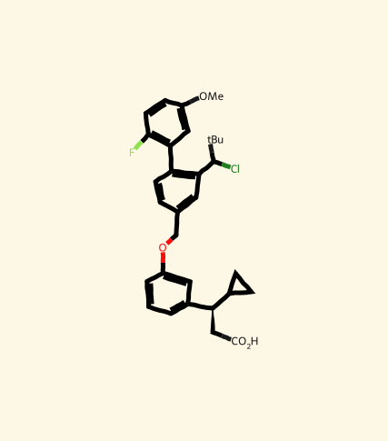 COc1ccc(F)c(-c2ccc(COc3cccc([C@H](CC(=O)O)C4CC4)c3)cc2C(Cl)C(C)(C)C)c1